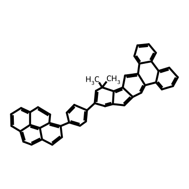 CC1(C)C=C(c2ccc(-c3ccc4ccc5cccc6ccc3c4c56)cc2)C=C2C=c3cc4c5ccccc5c5ccccc5c4cc3=C21